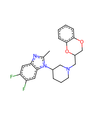 Cc1nc2cc(F)c(F)cc2n1C1CCCN(CC2COc3ccccc3O2)C1